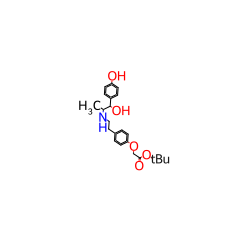 CC(NCCc1ccc(OCC(=O)OC(C)(C)C)cc1)C(O)c1ccc(O)cc1